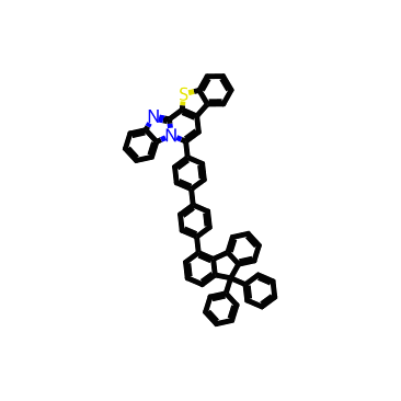 c1ccc(C2(c3ccccc3)c3ccccc3-c3c(-c4ccc(-c5ccc(-c6cc7c8ccccc8sc7c7nc8ccccc8n67)cc5)cc4)cccc32)cc1